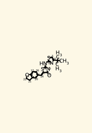 CC(C)(C)c1csc(NC2=NC(=O)/C(=C/c3ccc4c(c3)CCO4)S2)n1